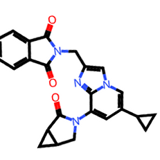 O=C1c2ccccc2C(=O)N1Cc1cn2cc(C3CC3)cc(N3CC4CC4C3=O)c2n1